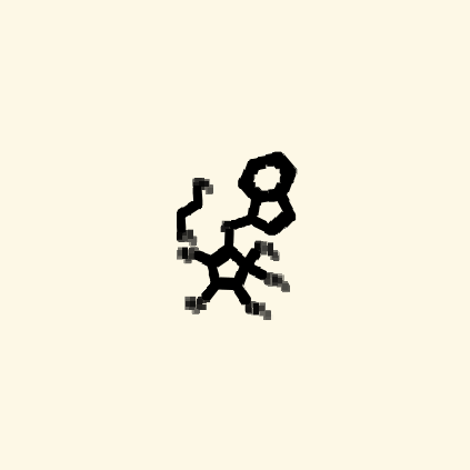 CC1=C(C)C(C)(C)[C]([Zr][CH]2C=Cc3ccccc32)=C1C.CCCC